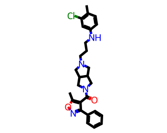 Cc1ccc(NCCCN2CC3CN(C(=O)c4c(-c5ccccc5)noc4C)CC3C2)cc1Cl